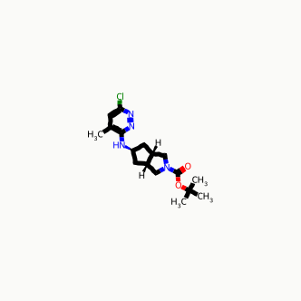 Cc1cc(Cl)nnc1N[C@H]1C[C@@H]2CN(C(=O)OC(C)(C)C)C[C@@H]2C1